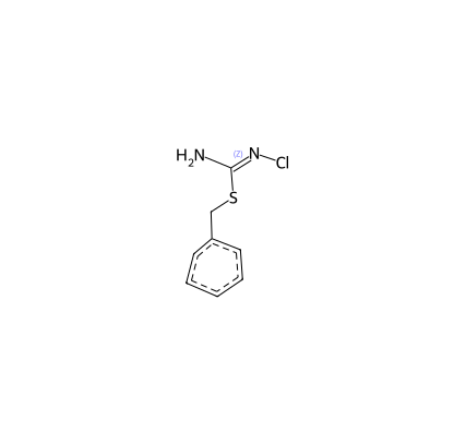 N/C(=N/Cl)SCc1ccccc1